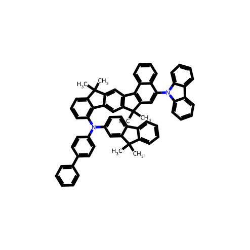 CC1(C)c2ccccc2-c2ccc(N(c3ccc(-c4ccccc4)cc3)c3cccc4c3-c3cc5c(cc3C4(C)C)-c3c(cc(-n4c6ccccc6c6ccccc64)c4ccccc34)C5(C)C)cc21